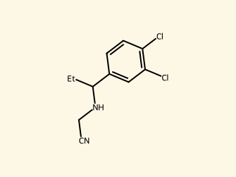 CCC(NCC#N)c1ccc(Cl)c(Cl)c1